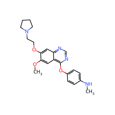 CNc1ccc(Oc2ncnc3cc(OCCN4CCCC4)c(OC)cc23)cc1